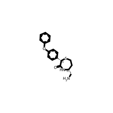 NC[C@H]1CCS[C@@H](c2ccc(Oc3ccccc3)cc2)C(=O)N1